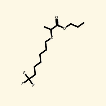 CCCOC(=O)C(C)SCCCCCCC(F)(F)F